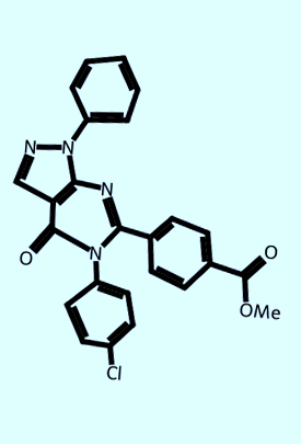 COC(=O)c1ccc(-c2nc3c(cnn3-c3ccccc3)c(=O)n2-c2ccc(Cl)cc2)cc1